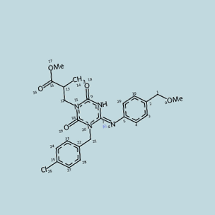 COCc1ccc(/N=c2\[nH]c(=O)n(CC(C)C(=O)OC)c(=O)n2Cc2ccc(Cl)cc2)cc1